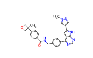 Cn1cc(-c2cc3c(-c4ccc(CNC(=O)c5ccc(C6(C)COC6)cc5)cc4)ncnc3[nH]2)cn1